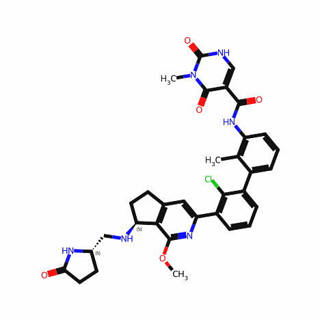 COc1nc(-c2cccc(-c3cccc(NC(=O)c4c[nH]c(=O)n(C)c4=O)c3C)c2Cl)cc2c1[C@@H](NC[C@@H]1CCC(=O)N1)CC2